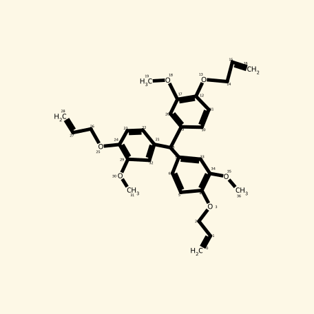 C=CCOc1ccc(C(c2ccc(OCC=C)c(OC)c2)c2ccc(OCC=C)c(OC)c2)cc1OC